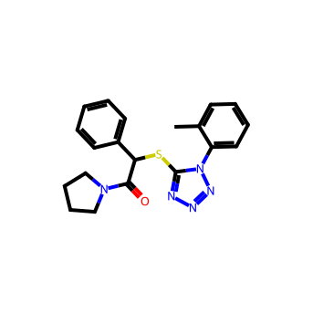 Cc1ccccc1-n1nnnc1SC(C(=O)N1CCCC1)c1ccccc1